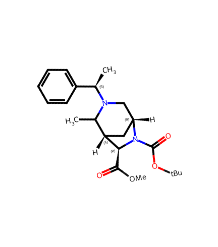 COC(=O)[C@H]1[C@H]2C[C@H](CN([C@H](C)c3ccccc3)C2C)N1C(=O)OC(C)(C)C